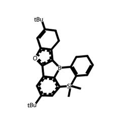 CC(C)(C)C1=Cc2oc3c(c2CC1)B1C2=C(C=CCC2)[Si](C)(C)c2cc(C(C)(C)C)cc-3c21